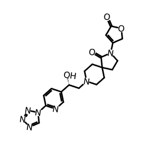 O=C1C=C(N2CCC3(CCN(C[C@@H](O)c4ccc(-n5cnnn5)nc4)CC3)C2=O)CO1